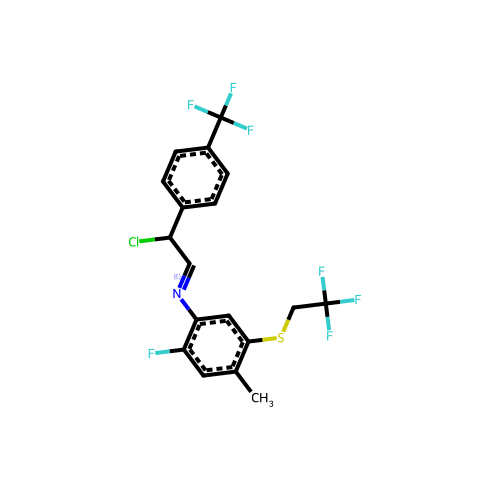 Cc1cc(F)c(/N=C/C(Cl)c2ccc(C(F)(F)F)cc2)cc1SCC(F)(F)F